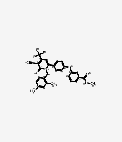 [C-]#[N+]c1c(C(F)(F)F)cc(-c2ccc(Oc3cccc(C(=O)OC)c3)cc2)n(Cc2ccc(C)cc2C)c1=O